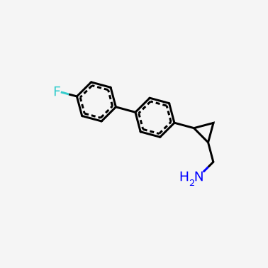 NCC1CC1c1ccc(-c2ccc(F)cc2)cc1